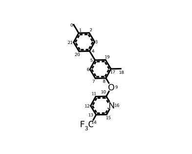 Cc1ccc(-c2ccc(Oc3ccc(C(F)(F)F)cn3)c(C)c2)cc1